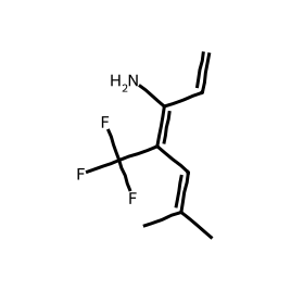 C=C/C(N)=C(\C=C(C)C)C(F)(F)F